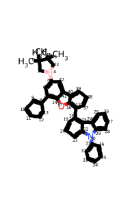 CC1(C)CB(c2cc(-c3ccccc3)c3oc4c(-c5cccc6c5c5ccccc5n6-c5ccccc5)cccc4c3c2)CC1(C)C